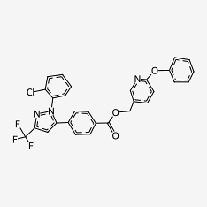 O=C(OCc1ccc(Oc2ccccc2)nc1)c1ccc(-c2cc(C(F)(F)F)nn2-c2ccccc2Cl)cc1